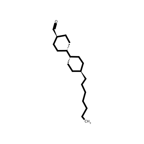 CCCCCCC[C@H]1CC[C@H]([C@H]2CC[C@H](C=O)CC2)CC1